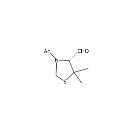 CC(=O)N1CSC(C)(C)[C@H]1C=O